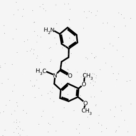 COc1ccc(CN(C)C(=O)CCc2cccc(N)c2)cc1OC